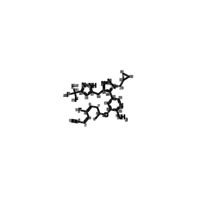 C#C/C=C\C(F)=C/CC(C)Oc1cc(-c2c(Cc3cc(C(F)(F)F)n[nH]3)nnn2CC2CC2)cnc1N